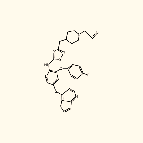 O=CCN1CCC(Cc2nsc(Nc3ncc(Sc4ccnc5ccsc45)cc3Oc3ccc(F)cc3)n2)CC1